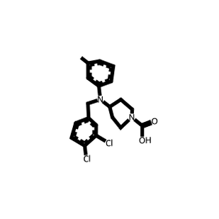 Cc1cccc(N(Cc2ccc(Cl)c(Cl)c2)C2CCN(C(=O)O)CC2)c1